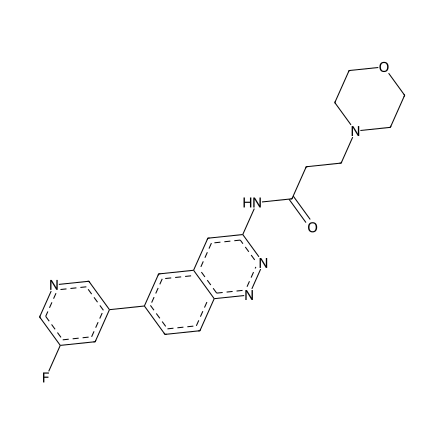 O=C(CCN1CCOCC1)Nc1cc2cc(-c3cncc(F)c3)ccc2nn1